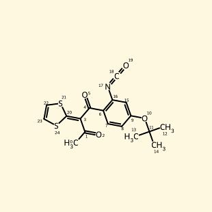 CC(=O)C(C(=O)c1ccc(OC(C)(C)C)cc1N=C=O)=C1SC=CS1